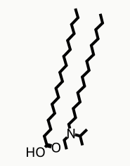 CCCCCCCCCCCCCCCCCC(=O)O.CCCCCCCCCCCCCCCN(CC)C(C)C